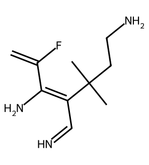 C=C(F)/C(N)=C(/C=N)C(C)(C)CCN